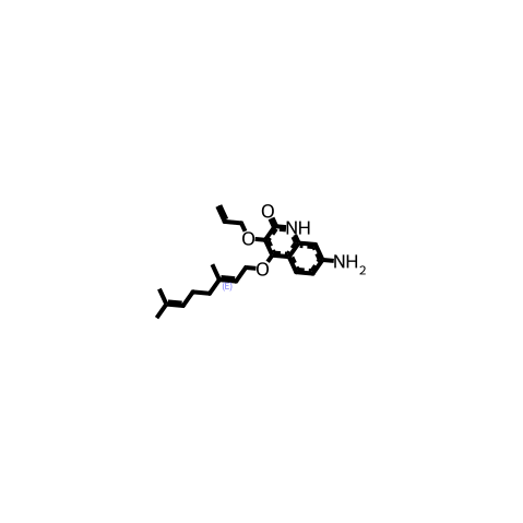 C=CCOc1c(OC/C=C(\C)CCC=C(C)C)c2ccc(N)cc2[nH]c1=O